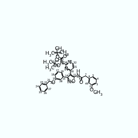 COc1cccc(CC(=O)Nc2onc(-c3cccc(OCc4ccccc4)c3)c2-c2ccnc(N(OC(C)(C)C)C(=O)OC(C)(C)C)n2)c1